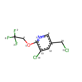 FC(F)(F)COc1ncc(CCl)cc1Cl